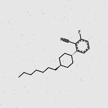 CCCCCCC[C@H]1CC[C@H](c2cccc(F)c2C#N)CC1